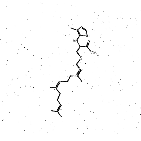 CC(C)=CCCC(C)=CCCC(C)=CCSCC(Nc1[nH]ccc1C)C(N)=S